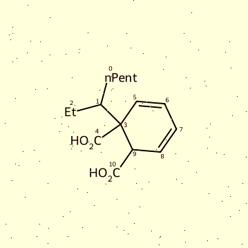 CCCCCC(CC)C1(C(=O)O)C=CC=CC1C(=O)O